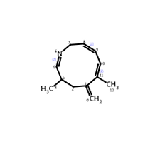 C=C1CC(C)/C=N\C/C=C\C=C/1C